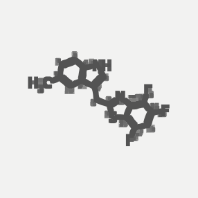 Cc1ccc2[nH]cc(Cc3nc4c(F)c(F)cc(F)c4s3)c2c1